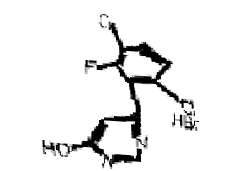 Br.Oc1cc(-c2c(Cl)ccc(Cl)c2F)ncn1